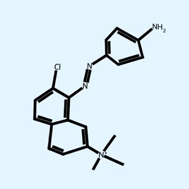 C[N+](C)(C)c1ccc2ccc(Cl)c(N=Nc3ccc(N)cc3)c2c1